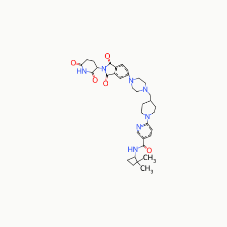 CC1(C)CCC1NC(=O)c1ccc(N2CCC(CN3CCN(c4ccc5c(c4)C(=O)N(C4CCC(=O)NC4=O)C5=O)CC3)CC2)nc1